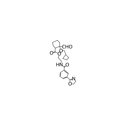 O=CC1(OCC2CCC2)CCCCC1C(=O)OCCNC(=O)c1cccc(C2=NCCO2)c1